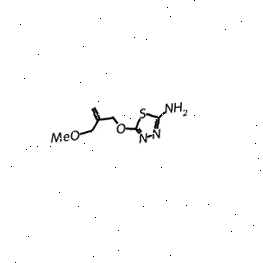 C=C(COC)COc1nnc(N)s1